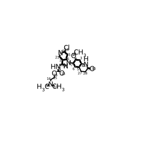 COc1cc2c(cc1-n1nc(NC(=O)OCCN(C)C)c3cnc(Cl)cc31)CCC(=O)N2